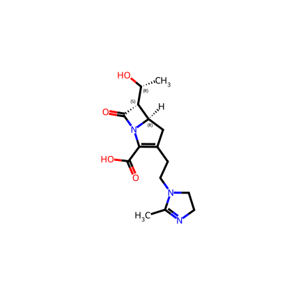 CC1=NCCN1CCC1=C(C(=O)O)N2C(=O)[C@H]([C@@H](C)O)[C@H]2C1